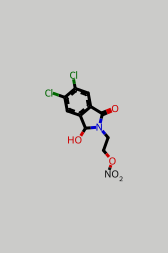 O=C1c2cc(Cl)c(Cl)cc2C(O)N1CCO[N+](=O)[O-]